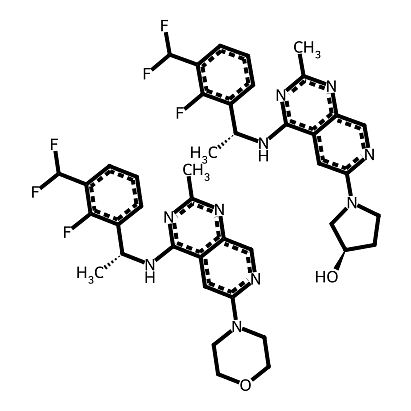 Cc1nc(N[C@H](C)c2cccc(C(F)F)c2F)c2cc(N3CCOCC3)ncc2n1.Cc1nc(N[C@H](C)c2cccc(C(F)F)c2F)c2cc(N3CC[C@@H](O)C3)ncc2n1